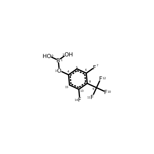 OB(O)Oc1cc(F)c(C(F)(F)F)c(F)c1